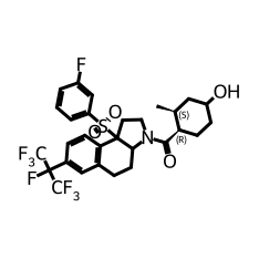 C[C@H]1CC(O)CC[C@H]1C(=O)N1CCC2(S(=O)(=O)c3cccc(F)c3)c3ccc(C(F)(C(F)(F)F)C(F)(F)F)cc3CCC12